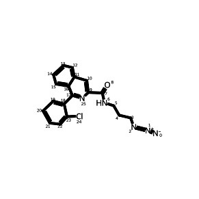 [N-]=[N+]=NCCCNC(=O)c1cc2ccccc2c(-c2ccccc2Cl)n1